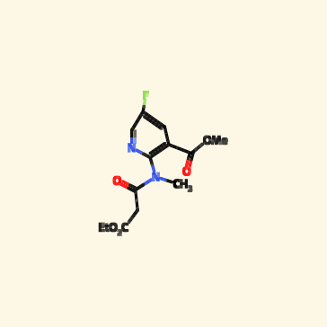 CCOC(=O)CC(=O)N(C)c1ncc(F)cc1C(=O)OC